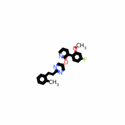 COc1cc(F)ccc1-c1cccnc1Oc1cnc(CCc2ccccc2C)nc1